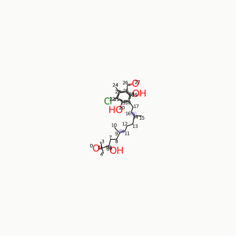 COC(C)(C)[C@@H](O)CC/C(C)=C/CC/C(C)=C/Cc1c(O)c(Cl)c(C)c(C=O)c1O